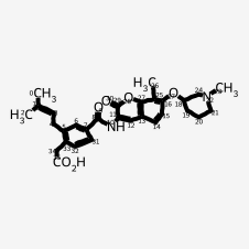 CC(C)=CCc1cc(C(=O)Nc2cc3ccc(OC4CCCN(C)C4)c(C)c3oc2=O)ccc1CC(=O)O